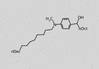 CCCCCCCCCCCCCCCCCCN(C)c1ccc(C(O)CCCCCCCC)cc1